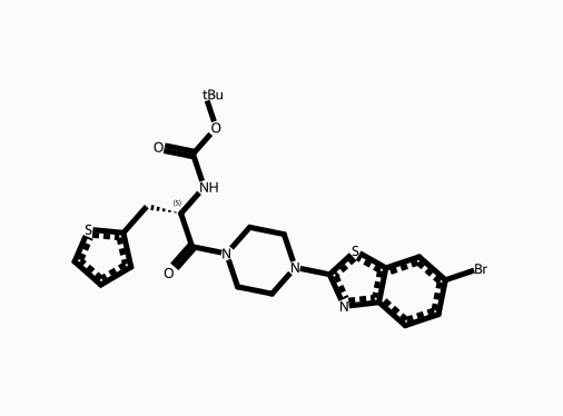 CC(C)(C)OC(=O)N[C@@H](Cc1cccs1)C(=O)N1CCN(c2nc3ccc(Br)cc3s2)CC1